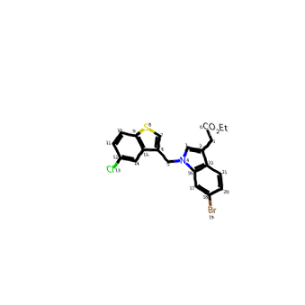 CCOC(=O)Cc1cn(Cc2csc3ccc(Cl)cc23)c2cc(Br)ccc12